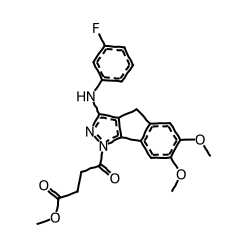 COC(=O)CCC(=O)n1nc(Nc2cccc(F)c2)c2c1-c1cc(OC)c(OC)cc1C2